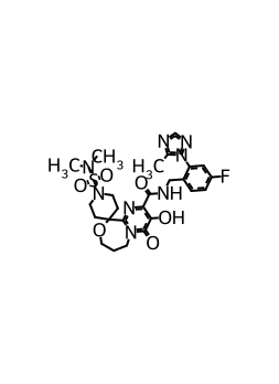 Cc1ncnn1-c1cc(F)ccc1CNC(=O)c1nc2n(c(=O)c1O)CCCOC21CCN(S(=O)(=O)N(C)C)CC1